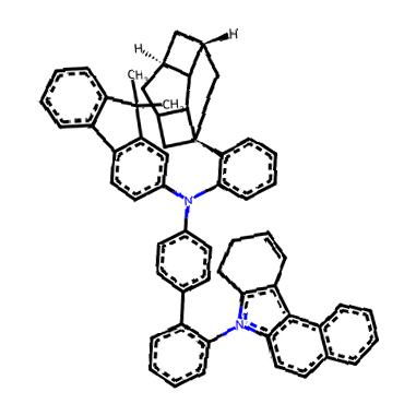 CC1(C)c2ccccc2-c2ccc(N(c3ccc(-c4ccccc4-n4c5c(c6c7ccccc7ccc64)C=CCC5)cc3)c3ccccc3[C@]34CC5C[C@H]6C[C@H](C3)C6C54)cc21